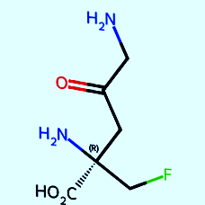 NCC(=O)C[C@](N)(CF)C(=O)O